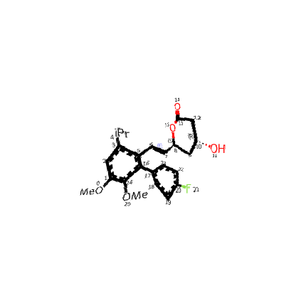 COc1cc(C(C)C)c(/C=C/[C@@H]2C[C@@H](O)CC(=O)O2)c(-c2ccc(F)cc2)c1OC